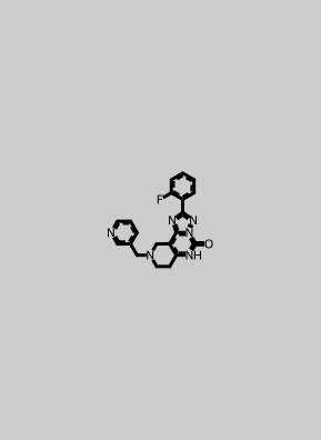 O=c1[nH]c2c(c3nc(-c4ccccc4F)nn13)CN(Cc1cccnc1)CC2